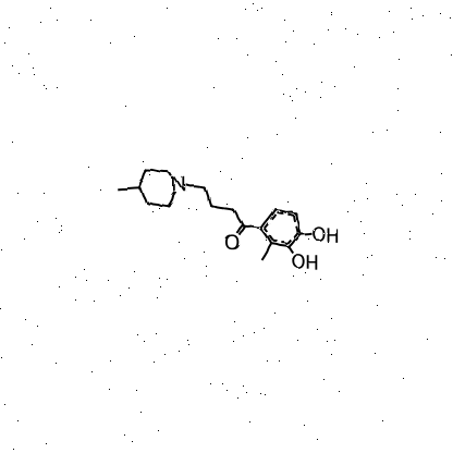 Cc1c(C(=O)CCCN2CCC(C)CC2)ccc(O)c1O